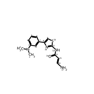 CN(C)c1cccc(-c2csc(NC(=O)C=CN)n2)c1